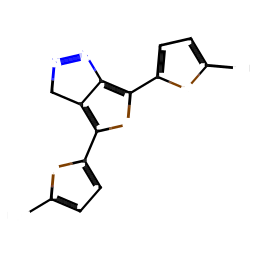 Cc1ccc(-c2sc(-c3ccc(C)s3)c3c2CN=N3)s1